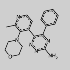 Cc1nccc(-c2nnc(N)nc2-c2ccccc2)c1N1CCOCC1